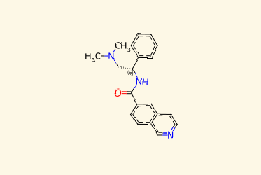 CN(C)C[C@@H](NC(=O)c1ccc2cnccc2c1)c1ccccc1